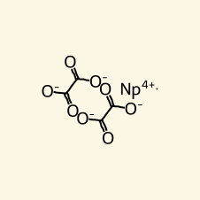 O=C([O-])C(=O)[O-].O=C([O-])C(=O)[O-].[Np+4]